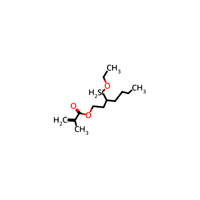 C=C(C)C(=O)OCCC(CCCC)[SiH2]OCC